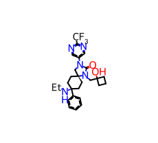 CCN[C@]1(c2ccccc2)CC[C@@]2(CC1)CN(c1cnc(C(F)(F)F)nc1)C(=O)N2CC1(O)CCC1